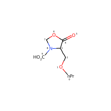 CCCOCC1C(=O)OCN1C(=O)O